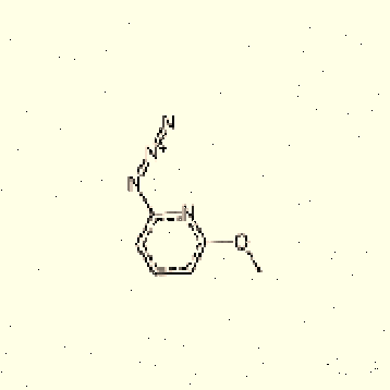 COc1cccc(N=[N+]=[N-])n1